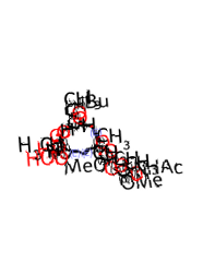 CCC(C)[C@H]1O[C@]2(C=C[C@@H]1C)C[C@@H]1C[C@@H](C/C=C(\C)[C@@H](O[C@H]3C[C@H](OC)[C@@H](O[C@H]4C[C@H](OC)[C@@H](ONC(C)=O)[C@H](C)O4)[C@H](C)O3)[C@@H](C)/C=C/C=C3\CO[C@@H]4[C@H](O)C(C)=C[C@@H](C(=O)O1)[C@]34O)O2